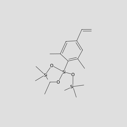 C=Cc1cc(C)c([Si](OCC)(O[Si](C)(C)C)O[Si](C)(C)C)c(C)c1